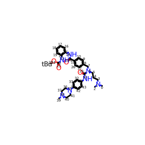 CN(C)CCCN(Cc1ccc(C(=O)Nc2ccccc2NC(=O)OC(C)(C)C)cc1)C(=O)Nc1ccc(N2CCN(C)CC2)cc1